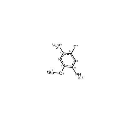 CC(C)(C)Oc1cc(P)c(F)cc1P